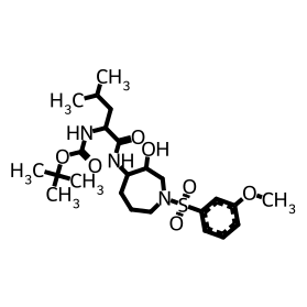 COc1cccc(S(=O)(=O)N2CCCC(NC(=O)C(CC(C)C)NC(=O)OC(C)(C)C)C(O)C2)c1